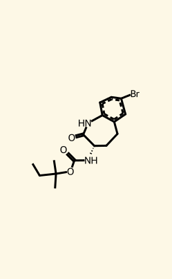 CCC(C)(C)OC(=O)N[C@H]1CCc2cc(Br)ccc2NC1=O